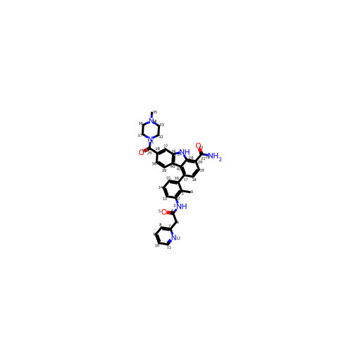 Cc1c(NC(=O)Cc2ccccn2)cccc1-c1ccc(C(N)=O)c2[nH]c3cc(C(=O)N4CCN(C)CC4)ccc3c12